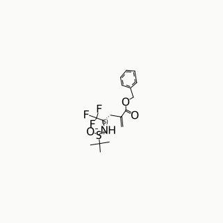 C=C(C[C@H](N[S+]([O-])C(C)(C)C)C(F)(F)F)C(=O)OCc1ccccc1